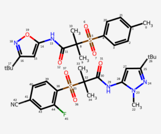 Cc1ccc(S(=O)(=O)C(C)(C)C(=O)Nc2cc(C(C)(C)C)no2)cc1.Cn1nc(C(C)(C)C)cc1NC(=O)C(C)(C)S(=O)(=O)c1ccc(C#N)cc1F